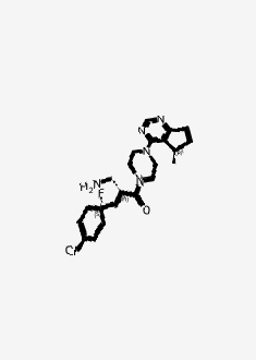 C[C@@H]1CCc2ncnc(N3CCN(C(=O)[C@@H](CN)C[C@@]4(F)C=CC(Cl)=CC4)CC3)c21